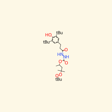 CC(CC(C)(C)OOC(C)(C)C)OC(=O)NNC(=O)CCc1cc(C(C)(C)C)c(O)c(C(C)(C)C)c1